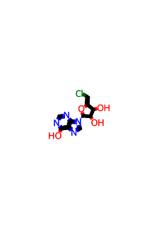 Oc1ncnc2c1ncn2[C@@H]1O/C(=C\Cl)C(O)C1O